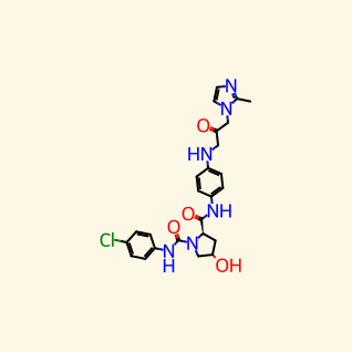 Cc1nccn1CC(=O)CNc1ccc(NC(=O)[C@H]2C[C@@H](O)CN2C(=O)Nc2ccc(Cl)cc2)cc1